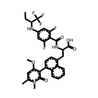 CCC(Nc1cc(F)c(C(=O)NC(Cc2ccc(-c3c(OC)cc(C)n(C)c3=O)c3ccccc23)C(=O)O)c(F)c1)C(F)(F)F